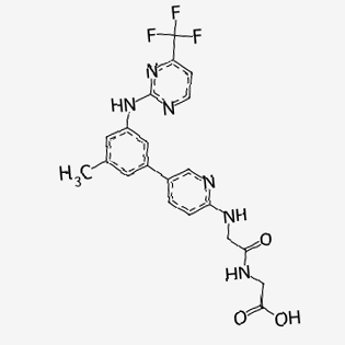 Cc1cc(Nc2nccc(C(F)(F)F)n2)cc(-c2ccc(NCC(=O)NCC(=O)O)nc2)c1